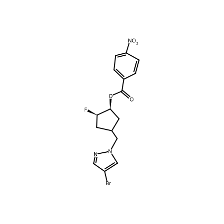 O=C(O[C@H]1CC(Cn2cc(Br)cn2)C[C@H]1F)c1ccc([N+](=O)[O-])cc1